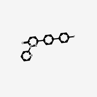 O=c1ccc(-c2ccc(-c3ccc(F)cc3)cc2)nn1-c1ccccn1